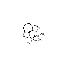 C[Si](C)(C)N1N=CN2CCCN3C=NN([Si](C)(C)C)C3=C21